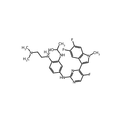 CC(O)Nc1cc(Nc2ncc(F)c(-c3cn(C)c4cc(F)c(F)cc34)n2)ccc1N(C)CCN(C)C